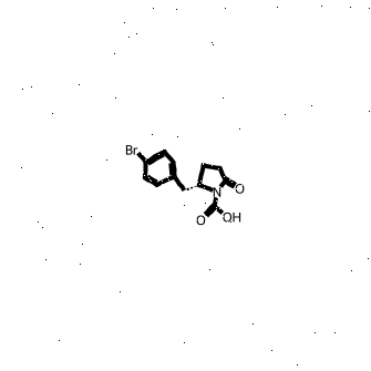 O=C(O)N1C(=O)CC[C@H]1Cc1ccc(Br)cc1